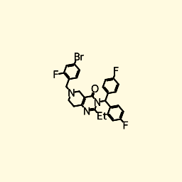 CCc1nc2c(c(=O)n1C(c1ccc(F)cc1)c1ccc(F)cc1)CN(Cc1ccc(Br)cc1F)CC2